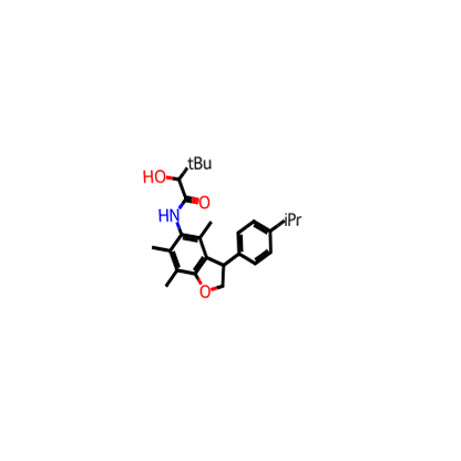 Cc1c(C)c2c(c(C)c1NC(=O)C(O)C(C)(C)C)C(c1ccc(C(C)C)cc1)CO2